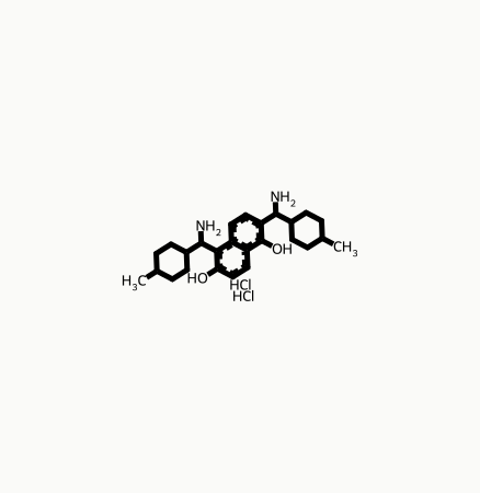 CC1CCC(C(N)c2ccc3c(C(N)C4CCC(C)CC4)c(O)ccc3c2O)CC1.Cl.Cl